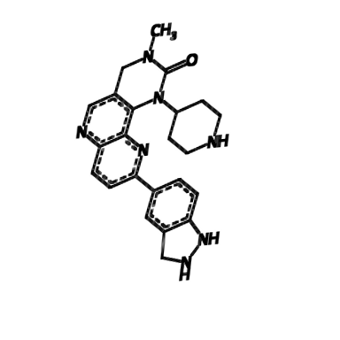 CN1Cc2cnc3ccc(-c4ccc5c(c4)CNN5)nc3c2N(C2CCNCC2)C1=O